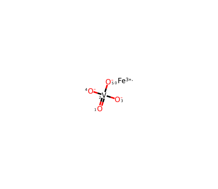 [Fe+3].[O]=[V]([O-])([O-])[O-]